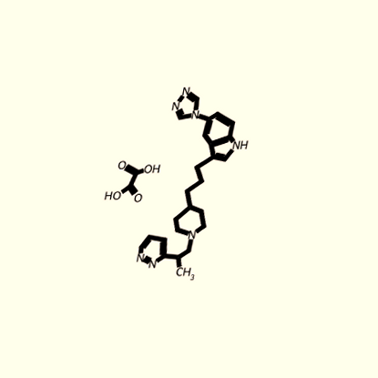 CC(CN1CCC(CCCc2c[nH]c3ccc(-n4cnnc4)cc23)CC1)c1cccnn1.O=C(O)C(=O)O